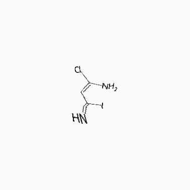 N=C(I)/C=C(\N)Cl